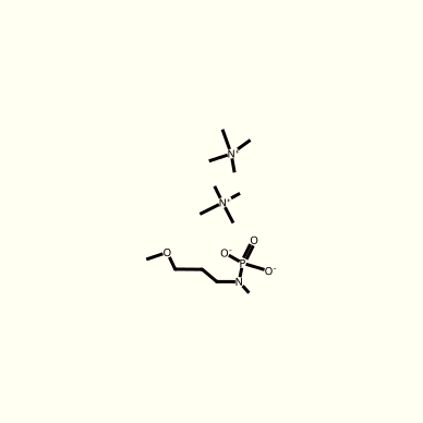 COCCCN(C)P(=O)([O-])[O-].C[N+](C)(C)C.C[N+](C)(C)C